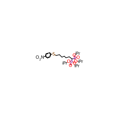 CC(C)OP(=O)(OC(C)C)C(CCCCCCSc1ccc([N+](=O)[O-])cc1)P(=O)(OC(C)C)OC(C)C